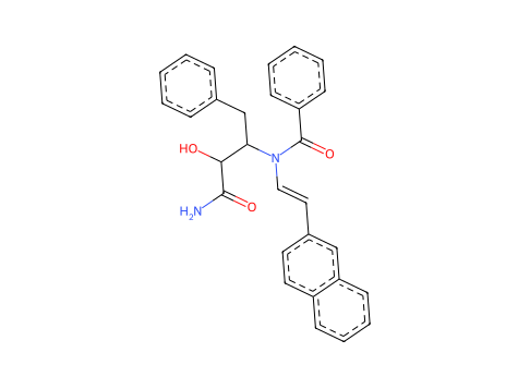 NC(=O)C(O)C(Cc1ccccc1)N(/C=C/c1ccc2ccccc2c1)C(=O)c1ccccc1